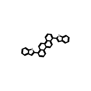 c1ccc2sc(-c3cccc4c3ccc3c5cccc(-c6cc7ccccc7s6)c5ccc43)cc2c1